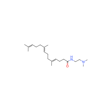 CC(C)=CCCC(C)=CCCC(C)=CCCC(=O)NCCN(C)C